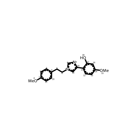 COc1ccc(CCn2cnc(-c3ccc(OC)cc3O)c2)cc1